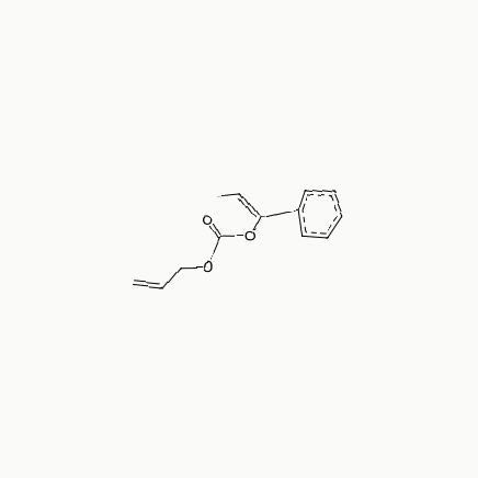 C=CCOC(=O)OC(=CC)c1ccccc1